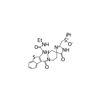 CCNC(=O)Nc1sc2ccccc2c1C(=O)N1CCC2(CC1)N=C(C[S+]([O-])C(C)C)NC2=O